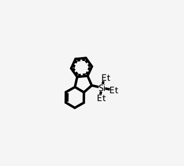 CC[Si](CC)(CC)C1c2ccccc2C2C=CCCC21